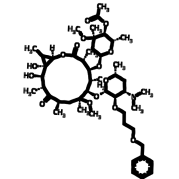 CO[C@]1(C)C[C@H](O[C@H]2[C@H](C)[C@@H](O[C@@H]3O[C@H](C)C[C@H](N(C)C)[C@H]3OCCCOCc3ccccc3)[C@@](C)(OC)C[C@@H](C)C(=O)[C@H](C)[C@@H](O)[C@@]3(O)C(C)[C@H]3OC(=O)[C@@H]2C)O[C@@H](C)[C@@H]1OC(C)=O